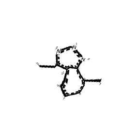 Cc1nnnc2c(C)cccc12